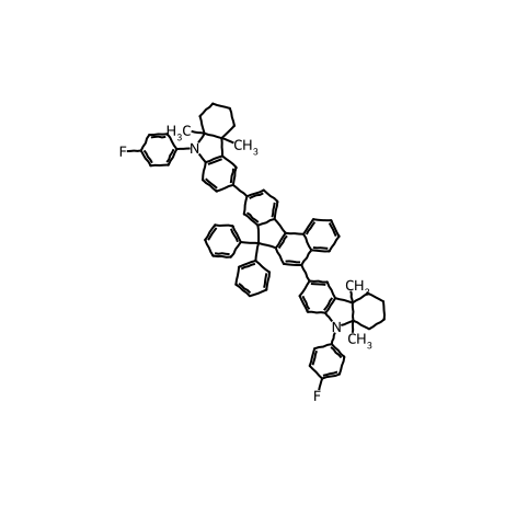 CC12CCCCC1(C)N(c1ccc(F)cc1)c1ccc(-c3ccc4c(c3)C(c3ccccc3)(c3ccccc3)c3cc(-c5ccc6c(c5)C5(C)CCCCC5(C)N6c5ccc(F)cc5)c5ccccc5c3-4)cc12